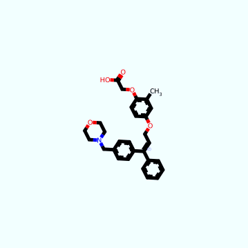 Cc1cc(OC/C=C(/c2ccccc2)c2ccc(CN3CCOCC3)cc2)ccc1OCC(=O)O